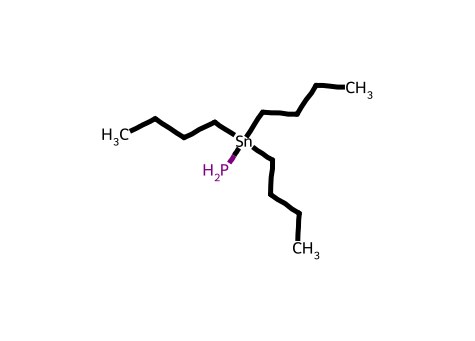 CCC[CH2][Sn]([PH2])([CH2]CCC)[CH2]CCC